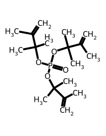 C=C(C)C(C)(C)OP(=O)(OC(C)(C)C(=C)C)OC(C)(C)C(=C)C